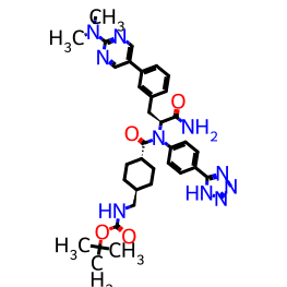 CN(C)c1ncc(-c2cccc(C[C@@H](C(N)=O)N(c3ccc(-c4nnn[nH]4)cc3)C(=O)[C@H]3CC[C@H](CNC(=O)OC(C)(C)C)CC3)c2)cn1